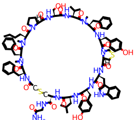 CCCC[C@H]1C(=O)N2CCC[C@@H]2C(=O)N[C@@H](CO)C(=O)N[C@@H](C(C)C)C(=O)N(C)[C@@H](Cc2ccccc2)C(=O)N[C@@H](Cc2ccc(O)cc2)C(=O)N2CSC[C@@H]2C(=O)N[C@@H](Cc2c[nH]c3ccccc23)C(=O)N[C@@H](Cc2ccc(O)cc2)C(=O)N[C@@H](CC(C)C)C(=O)N[C@H](C(=O)NCC(N)=O)CSCC(=O)N[C@@H](Cc2ccccc2)C(=O)N(C)[C@@H](Cc2ccccc2)C(=O)N1C